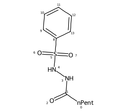 CCCCCC(=O)NNS(=O)(=O)c1ccccc1